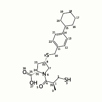 C[C@H](CS)C(=O)N1C[C@@H](SCc2ccc(C3CCCCC3)cc2)C[C@H]1C(=O)O